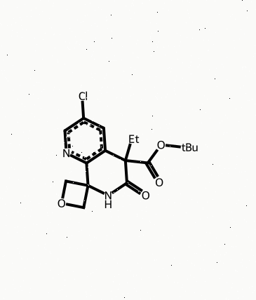 CCC1(C(=O)OC(C)(C)C)C(=O)NC2(COC2)c2ncc(Cl)cc21